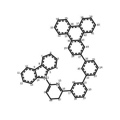 C1=C(n2c3ccccc3c3ccccc32)N=C(c2cccc(-c3cccc(-c4ccc5c6ccccc6c6ccccc6c5c4)c3)c2)CC1